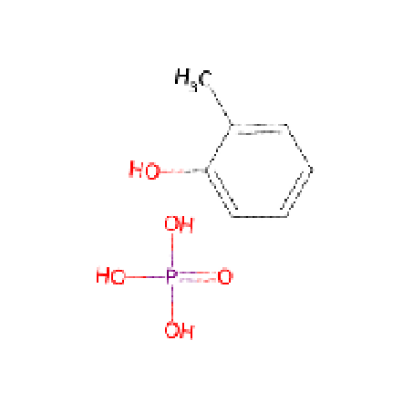 Cc1ccccc1O.O=P(O)(O)O